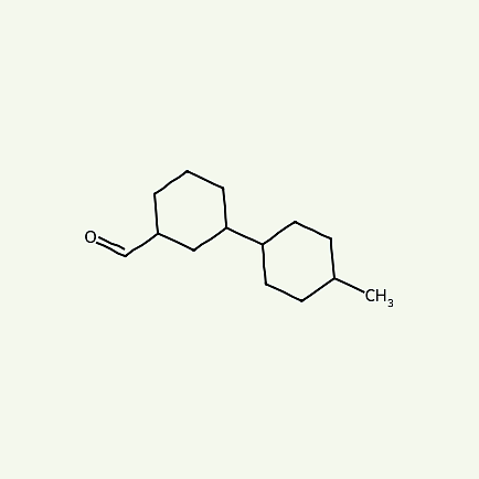 CC1CCC(C2CCCC(C=O)C2)CC1